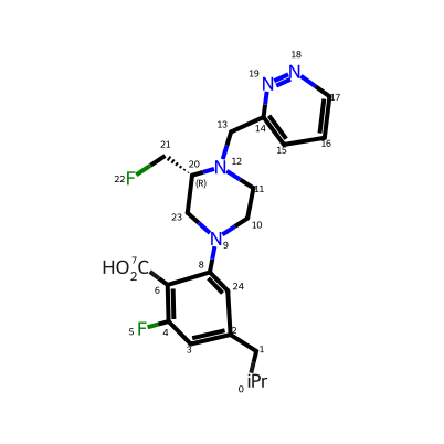 CC(C)Cc1cc(F)c(C(=O)O)c(N2CCN(Cc3cccnn3)[C@@H](CF)C2)c1